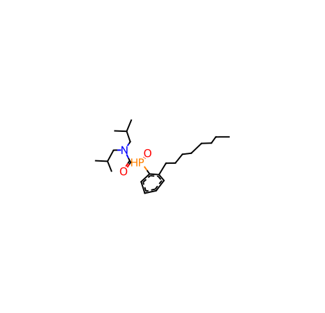 CCCCCCCCc1ccccc1[PH](=O)C(=O)N(CC(C)C)CC(C)C